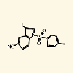 Cc1ccc(S(=O)(=O)n2cc(I)c3cc(C#N)ccc32)cc1